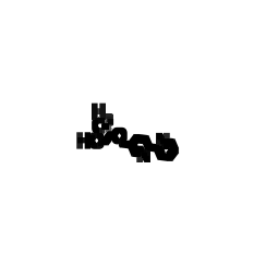 CC[C@@H](CO)OCc1ccc(-c2ccccn2)nc1